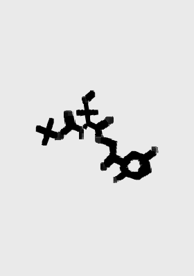 COC(C)(C)[C@@H](NC(=O)OC(C)(C)C)C(=O)OCC(=O)c1cc(F)ccc1F